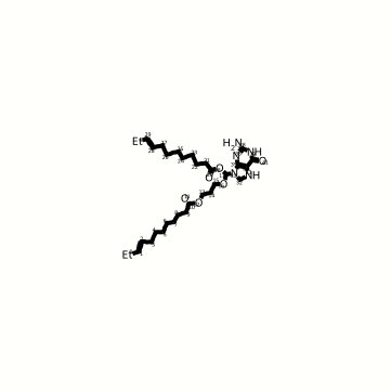 CCC=CCCCCCCCC(=O)OCCCOC(OC(=O)CCCCCCCC=CCC)N1CNc2c1nc(N)[nH]c2=O